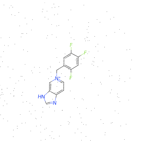 Fc1cc(F)c(C[n+]2ccc3nc[nH]c3c2)cc1F